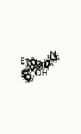 CCc1ccc(OCc2cccc(-c3cccnc3)c2)c2c(C(O)O)cc(-c3csc4ccccc34)nc12